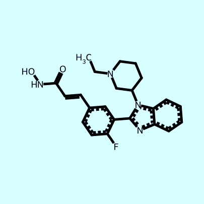 CCN1CCCC(n2c(-c3cc(/C=C/C(=O)NO)ccc3F)nc3ccccc32)C1